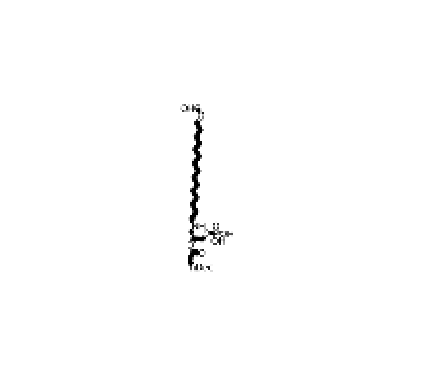 CCCCCCCCCCCC(=O)O[C@@H](CNCCCCCCCCCCCCCCCOC=O)COP(=O)(O)O